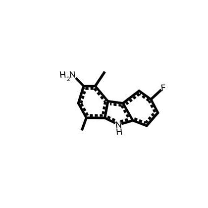 Cc1cc(N)c(C)c2c1[nH]c1ccc(F)cc12